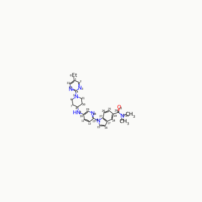 CCc1cnc(N2CCC(Nc3ccc(-n4ccc5cc(C(=O)N(C)C)ccc54)nc3)CC2)nc1